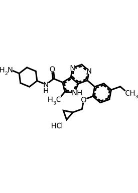 CCc1ccc(OCC2CC2)c(-c2ncnc3c(C(=O)NC4CCC(N)CC4)c(C)[nH]c23)c1.Cl